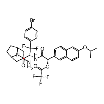 CC(C)Oc1ccc2cc([C@@H](OC(=O)C(F)(F)F)C(=O)N[C@H](C(=O)N3C4CCC3CC(N)C4)C(F)(F)c3ccc(Br)cc3)ccc2c1